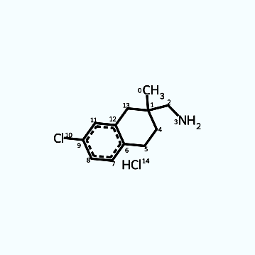 CC1(CN)CCc2ccc(Cl)cc2C1.Cl